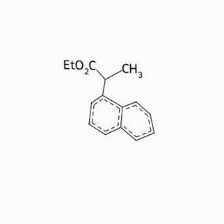 CCOC(=O)C(C)c1cccc2ccccc12